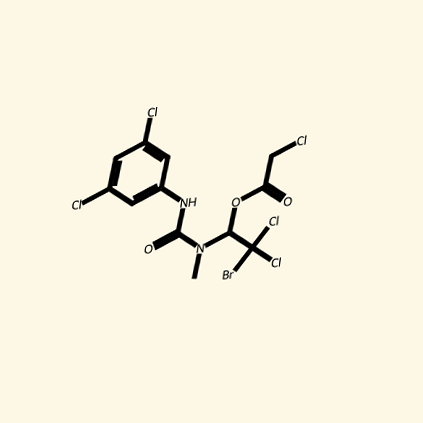 CN(C(=O)Nc1cc(Cl)cc(Cl)c1)C(OC(=O)CCl)C(Cl)(Cl)Br